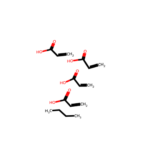 C=CC(=O)O.C=CC(=O)O.C=CC(=O)O.C=CC(=O)O.CCCC